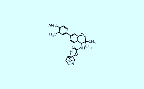 COc1ccc(-c2ccc3c(c2)OCC(C)(C)C3NC(=O)O[C@H]2CN3CCC2CC3)cc1C